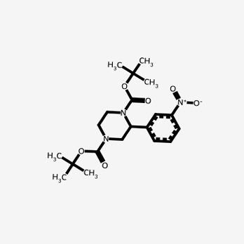 CC(C)(C)OC(=O)N1CCN(C(=O)OC(C)(C)C)C(c2cccc([N+](=O)[O-])c2)C1